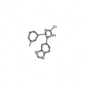 CCc1nc(-c2cccc(F)c2)c(-c2ccc3ncsc3c2)[nH]1